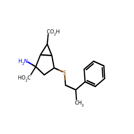 CC(CSC1CC(N)(C(=O)O)C2C(C(=O)O)C12)c1ccccc1